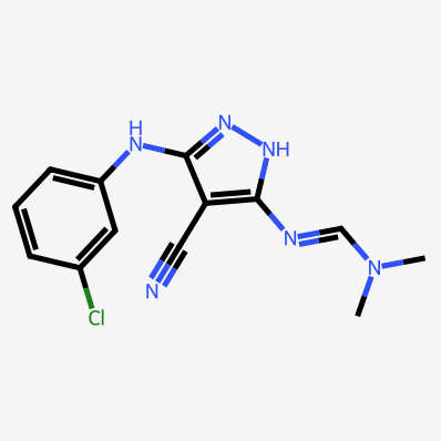 CN(C)/C=N/c1[nH]nc(Nc2cccc(Cl)c2)c1C#N